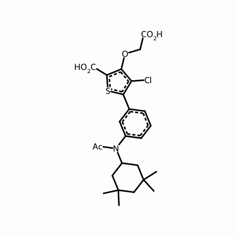 CC(=O)N(c1cccc(-c2sc(C(=O)O)c(OCC(=O)O)c2Cl)c1)C1CC(C)(C)CC(C)(C)C1